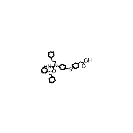 O=C(O)Cc1ccc(Sc2ccc(N(CCc3ccccc3)C(=O)Nc3ccccc3Oc3ccccc3)cc2)cc1